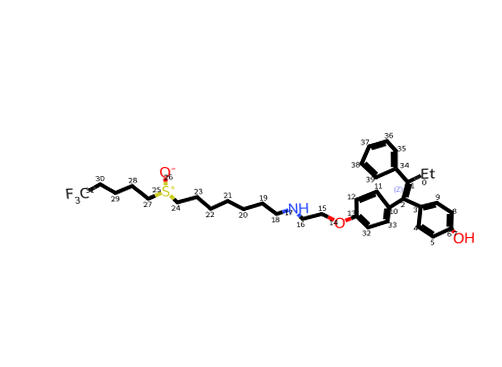 CC/C(=C(\c1ccc(O)cc1)c1ccc(OCCNCCCCCCC[S+]([O-])CCCCC(F)(F)F)cc1)c1ccccc1